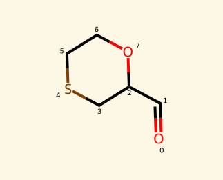 O=CC1CSCCO1